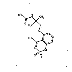 CCCC(=O)NC(C)(C)COc1cccc2c1C(N)=NS(=O)(=O)N2